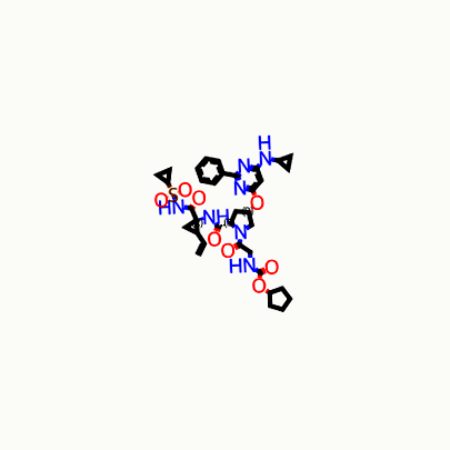 C=CC1C[C@]1(NC(=O)[C@@H]1C[C@@H](Oc2cc(NC3CC3)nc(-c3ccccc3)n2)CN1C(=O)CNC(=O)OC1CCCC1)C(=O)NS(=O)(=O)C1CC1